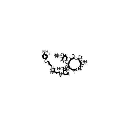 CC[C@H]1OC(=O)[C@H](C)C([C@H]2C[C@@](C)(OC)[C@@H](O)[C@H](C)O2)[C@H](C)[C@@H](O[C@@H]2O[C@H](C)C[C@H](N(C)CCc3cn(CCCOc4ccc(N)cc4)nn3)[C@H]2O)[C@](C)(O)C[C@@H](C)CN(C)[C@H](C)[C@@H](O)[C@]1(C)O